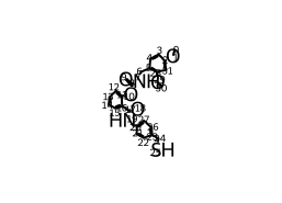 COc1ccc(CNC(=O)Oc2ccccc2C(=O)Nc2ccc(CS)cc2)c(OC)c1